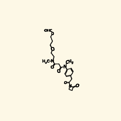 CN(CCOCCCOC=O)C(=O)CC(=O)N(C)c1ccc(CC(=O)N2CCC2=O)cc1